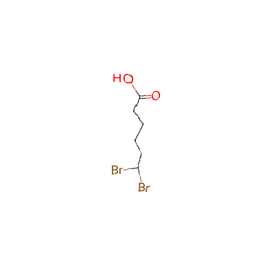 O=C(O)CCCCC(Br)Br